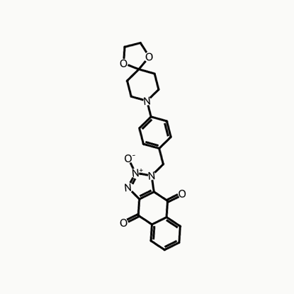 O=C1c2ccccc2C(=O)c2c1n[n+]([O-])n2Cc1ccc(N2CCC3(CC2)OCCO3)cc1